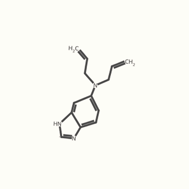 C=CCN(CC=C)c1ccc2n[c][nH]c2c1